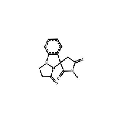 CN1C(=O)CC2(C1=O)c1ccccc1N1CCC(=O)N12